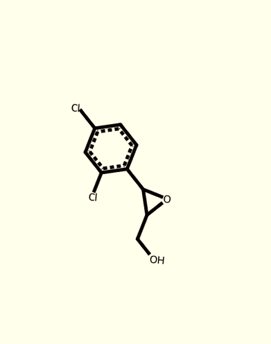 OCC1OC1c1ccc(Cl)cc1Cl